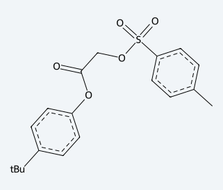 Cc1ccc(S(=O)(=O)OCC(=O)Oc2ccc(C(C)(C)C)cc2)cc1